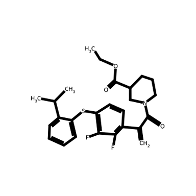 C=C(C(=O)N1CCCC(C(=O)OCC)C1)c1ccc(Sc2ccccc2C(C)C)c(F)c1F